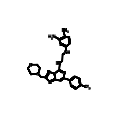 Nc1ccc(NCCNc2nc(-c3ccc(C(F)(F)F)cc3)cc3nc(CN4CCOCC4)nn23)nc1N